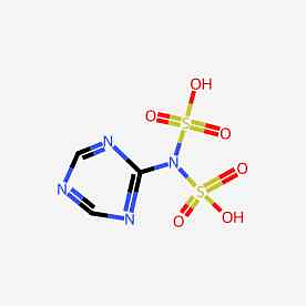 O=S(=O)(O)N(c1ncncn1)S(=O)(=O)O